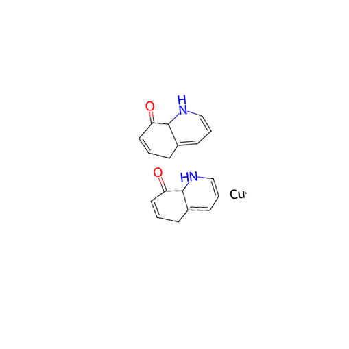 O=C1C=CCC2=CC=CNC12.O=C1C=CCC2=CC=CNC12.[Cu]